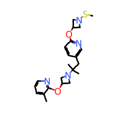 CSN1CC(Oc2ccc(CC(C)(C)N3CC(Oc4ncccc4C)C3)cn2)C1